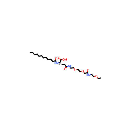 CCCCCCCCCCCC(=O)N[C@@H](CCC(=O)NCCOCCOCC(=O)NCCOCC)C(=O)O